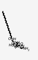 CCC=CCC=CCC=CCC=CCC=CCC=CCCC(=O)NCCO[P]1(O)OC[C@H]2O[C@@H](n3ccc(N)nc3=O)[C@](C)(F)[C@@H]2O1